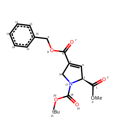 COC(=O)[C@@H]1C=C(C(=O)OCc2ccccc2)CN1C(=O)OC(C)(C)C